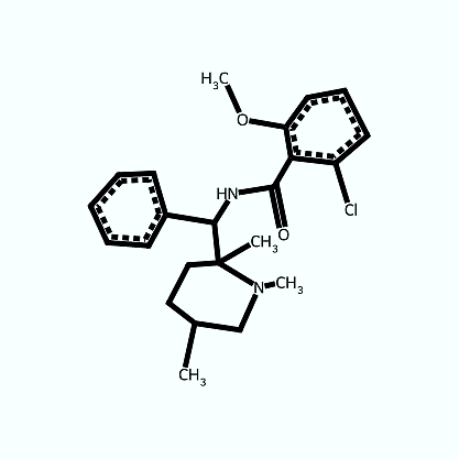 COc1cccc(Cl)c1C(=O)NC(c1ccccc1)C1(C)CCC(C)CN1C